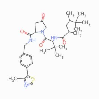 Cc1ncsc1-c1ccc(CNC(=O)C2CC(=O)CN2C(=O)C(NC(=O)C(C)CC(C)C(C)(C)C)C(C)(C)C)cc1